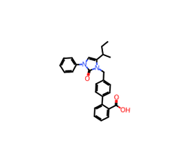 CCC(C)c1cn(-c2ccccc2)c(=O)n1Cc1ccc(-c2ccccc2C(=O)O)cc1